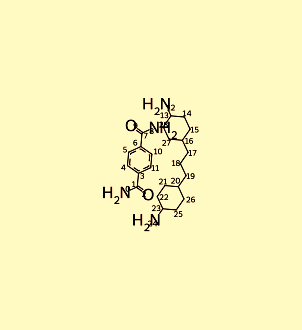 NC(=O)c1ccc(C(N)=O)cc1.NC1CCC(CCCC2CCC(N)CC2)CC1